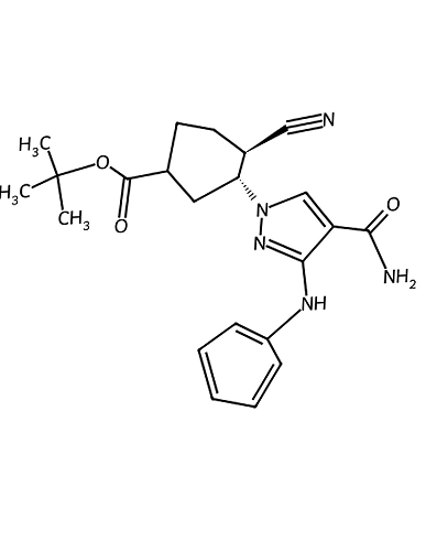 CC(C)(C)OC(=O)C1CC[C@@H](C#N)[C@H](n2cc(C(N)=O)c(Nc3ccccc3)n2)C1